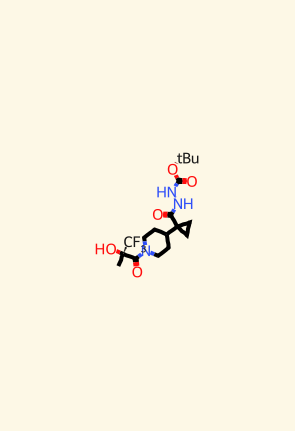 CC(C)(C)OC(=O)NNC(=O)C1(C2CCN(C(=O)[C@@](C)(O)C(F)(F)F)CC2)CC1